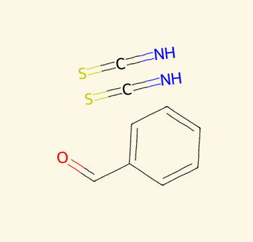 N=C=S.N=C=S.O=Cc1ccccc1